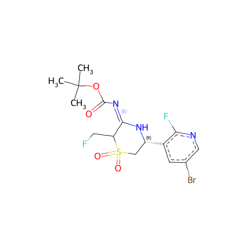 CC(C)(C)OC(=O)/N=C1/N[C@H](c2cc(Br)cnc2F)CS(=O)(=O)C1CF